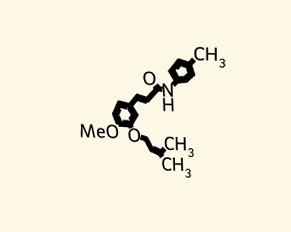 COc1ccc(/C=C/C(=O)Nc2ccc(C)cc2)cc1OCC=C(C)C